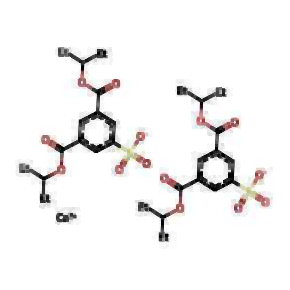 CCC(CC)OC(=O)c1cc(C(=O)OC(CC)CC)cc(S(=O)(=O)[O-])c1.CCC(CC)OC(=O)c1cc(C(=O)OC(CC)CC)cc(S(=O)(=O)[O-])c1.[Ca+2]